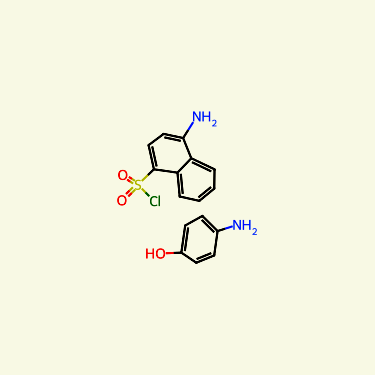 Nc1ccc(O)cc1.Nc1ccc(S(=O)(=O)Cl)c2ccccc12